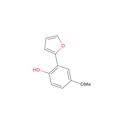 COc1ccc(O)c(-c2ccco2)c1